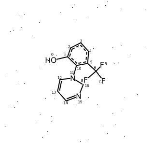 Oc1cccc(C(F)(F)F)c1N1C=CC=NC1